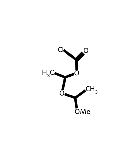 COC(C)OC(C)OC(=O)Cl